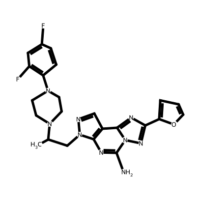 CC(Cn1ncc2c1nc(N)n1nc(-c3ccco3)nc21)N1CCN(c2ccc(F)cc2F)CC1